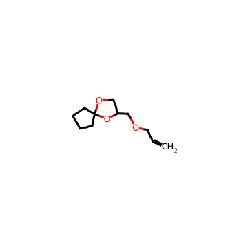 C=CCOCC1COC2(CCCC2)O1